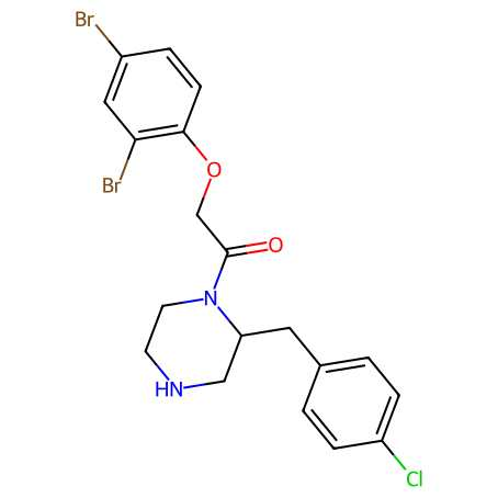 O=C(COc1ccc(Br)cc1Br)N1CCNCC1Cc1ccc(Cl)cc1